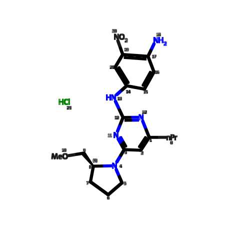 CCCc1cc(N2CCC[C@H]2COC)nc(Nc2ccc(N)c([N+](=O)[O-])c2)n1.Cl